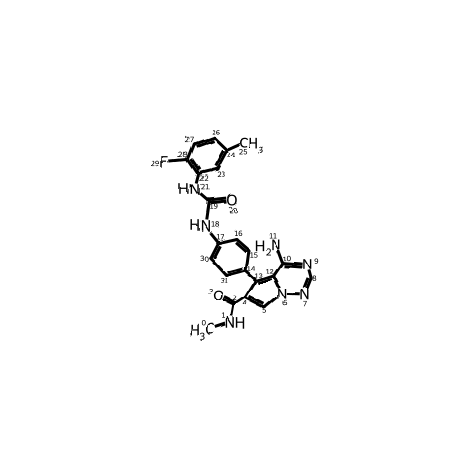 CNC(=O)c1cn2ncnc(N)c2c1-c1ccc(NC(=O)Nc2cc(C)ccc2F)cc1